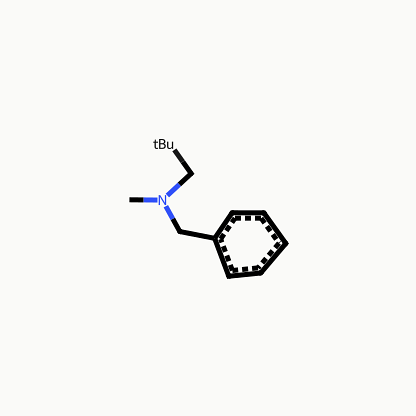 [CH2]C(C)(C)CN(C)Cc1ccccc1